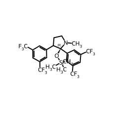 CN1CCC(c2cc(C(F)(F)F)cc(C(F)(F)F)c2)[C@@]1(O[Si](C)(C)C)c1cc(C(F)(F)F)cc(C(F)(F)F)c1